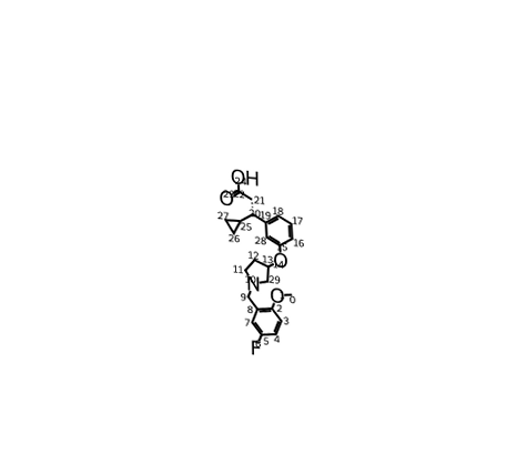 COc1ccc(F)cc1CN1CCC(Oc2cccc([C@@H](CC(=O)O)C3CC3)c2)C1